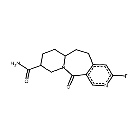 NC(=O)C1CCC2CCc3cc(F)ncc3C(=O)N2C1